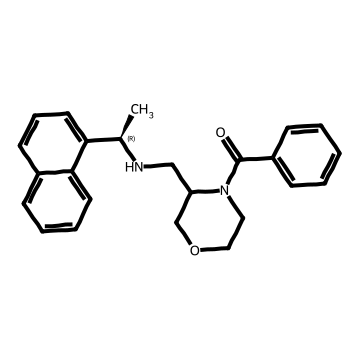 C[C@@H](NCC1COCCN1C(=O)c1ccccc1)c1cccc2ccccc12